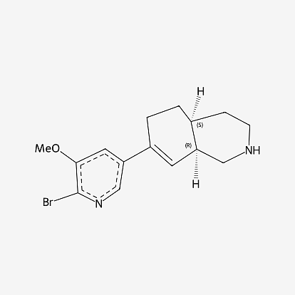 COc1cc(C2=C[C@@H]3CNCC[C@@H]3CC2)cnc1Br